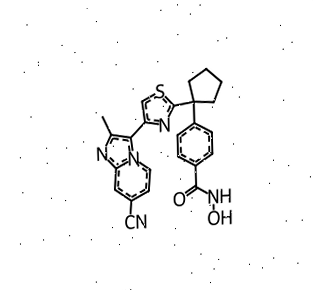 Cc1nc2cc(C#N)ccn2c1-c1csc(C2(c3ccc(C(=O)NO)cc3)CCCC2)n1